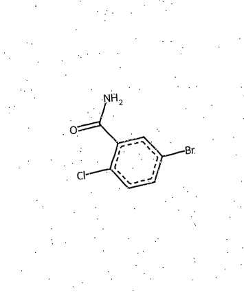 NC(=O)c1cc(Br)ccc1Cl